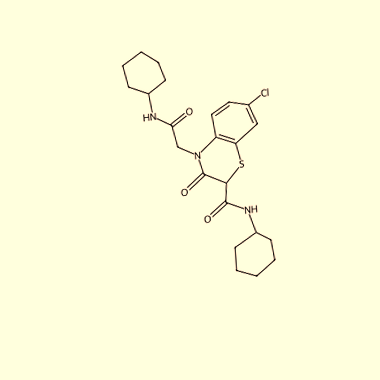 O=C(CN1C(=O)C(C(=O)NC2CCCCC2)Sc2cc(Cl)ccc21)NC1CCCCC1